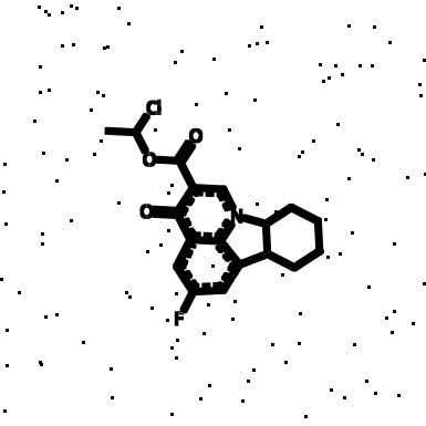 CC(Cl)OC(=O)c1cn2c3c(cc(F)cc3c1=O)C1CCCCC12